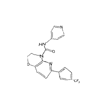 O=C(Nc1ccncc1)N1CCOc2ccc(-c3ccc(C(F)(F)F)cc3)nc21